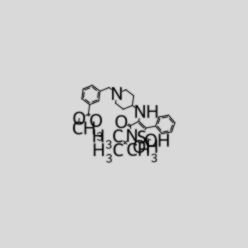 COC(=O)c1cccc(CN2CCC(NC3=C(c4ccccc4)S(O)(O)N(C(C)(C)C)C3=O)CC2)c1